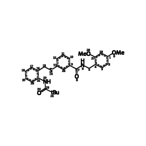 COc1ccc(CNC(=O)c2cccc(SCc3ccccc3NC(=O)C(C)(C)C)c2)c(OC)c1